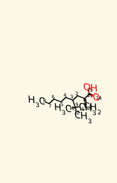 C=C(CC(CCCCC)C(C)(C)C)C(=O)O